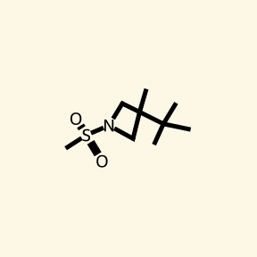 CC(C)(C)C1(C)CN(S(C)(=O)=O)C1